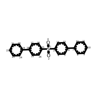 O=S(=O)(c1ccc(-c2ccccc2)cc1)c1ccc(-c2ccccc2)cc1